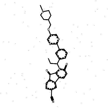 CCC(c1cccc(-c2ncc(OCC3CCN(C)CC3)cn2)c1)n1c2c(ccc1=O)-c1cc(C#N)ccc1C2=O